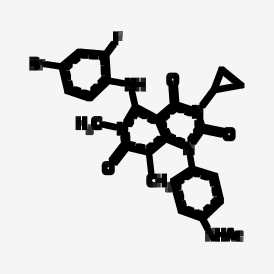 CC(=O)Nc1ccc(-n2c(=O)n(C3CC3)c(=O)c3c(Nc4ccc(Br)cc4F)n(C)c(=O)c(C)c32)cc1